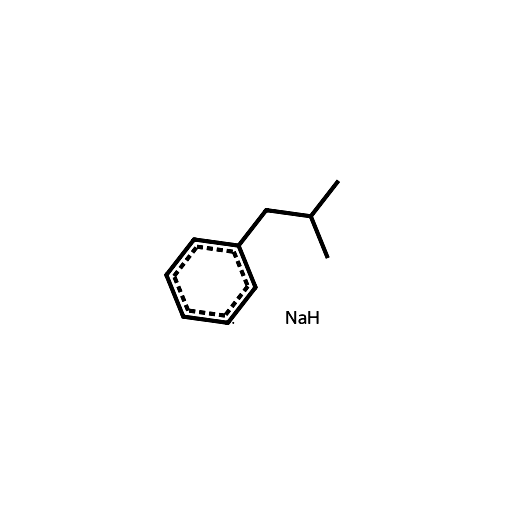 CC(C)Cc1c[c]ccc1.[NaH]